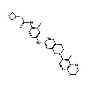 Cc1cc(Nc2cc3c(cn2)CCN(c2cnc4c(c2C)NCCO4)C3)ccc1NC(=O)CN1CCC1